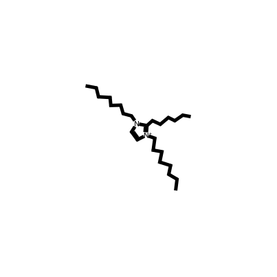 CCCCCCCCn1cc[n+](CCCCCCCC)c1CCCCCC